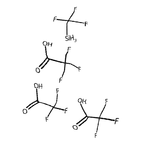 FC(F)(F)[SiH3].O=C(O)C(F)(F)F.O=C(O)C(F)(F)F.O=C(O)C(F)(F)F